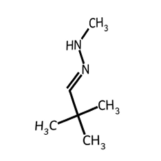 CN/N=C/C(C)(C)C